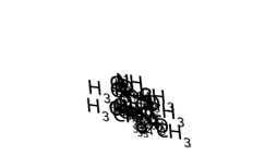 COc1ccc2c(c1)C(C)=C(C(=O)N(C)CCOCCN(C)S(N)(=O)=O)Cn1c-2c(C2CCCCC2)c2ccc(C(=O)OC(C)(C)C)cc21